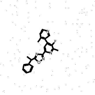 Cc1ccncc1-c1cc(-c2noc(C(C)c3ccccc3)n2)nc(C)c1F